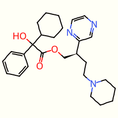 O=C(OC[C@H](CCN1CCCCC1)c1cnccn1)C(O)(c1ccccc1)C1CCCCC1